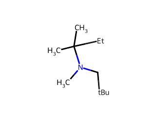 CCC(C)(C)N(C)CC(C)(C)C